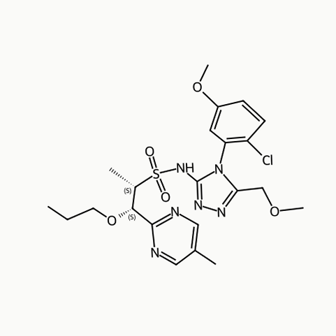 CCCO[C@@H](c1ncc(C)cn1)[C@H](C)S(=O)(=O)Nc1nnc(COC)n1-c1cc(OC)ccc1Cl